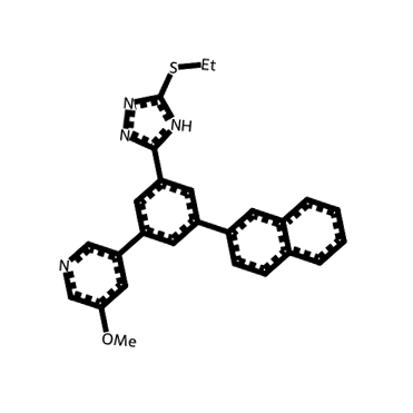 CCSc1nnc(-c2cc(-c3cncc(OC)c3)cc(-c3ccc4ccccc4c3)c2)[nH]1